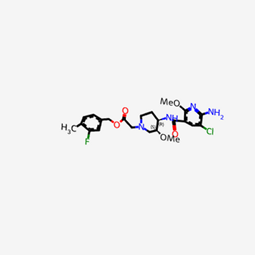 COc1nc(N)c(Cl)cc1C(=O)N[C@@H]1CCN(CC(=O)OCc2ccc(C)c(F)c2)C[C@@H]1OC